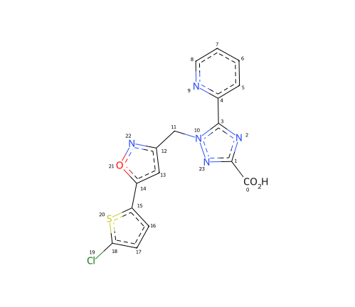 O=C(O)c1nc(-c2ccccn2)n(Cc2cc(-c3ccc(Cl)s3)on2)n1